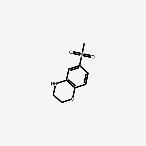 CS(=O)(=O)c1ccc2c(c1)NCCO2